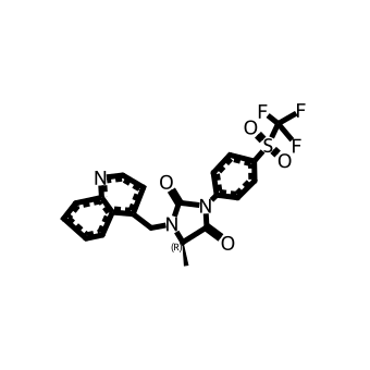 C[C@@H]1C(=O)N(c2ccc(S(=O)(=O)C(F)(F)F)cc2)C(=O)N1Cc1ccnc2ccccc12